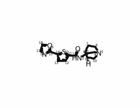 O=C(N[C@H]1CN2CCC1CC2)c1ccc(-c2ncco2)s1